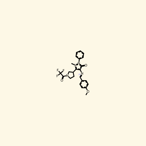 COc1ccc(/C=N/c2c(C3CCN(C(=O)C(F)(F)F)C3)n(C)n(-c3ccccc3)c2=O)cc1